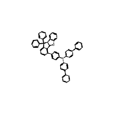 c1ccc(-c2ccc(N(c3ccc(-c4ccccc4)cc3)c3ccc(-c4cccc5c4C4Oc6ccccc6C4C5(c4ccccc4)c4ccccc4)cc3)cc2)cc1